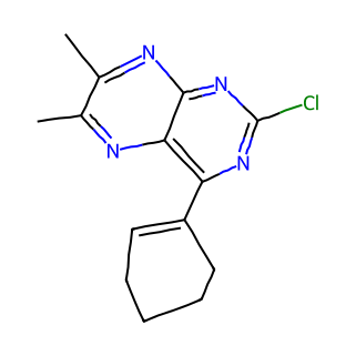 Cc1nc2nc(Cl)nc(C3=CCCCC3)c2nc1C